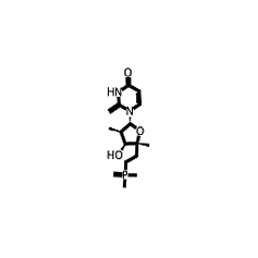 C=C1NC(=O)C=CN1[C@@H]1O[C@](C)(CCP(=C)(C)C)[C@@H](O)[C@H]1C